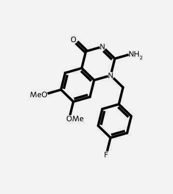 COc1cc2c(=O)nc(N)n(Cc3ccc(F)cc3)c2cc1OC